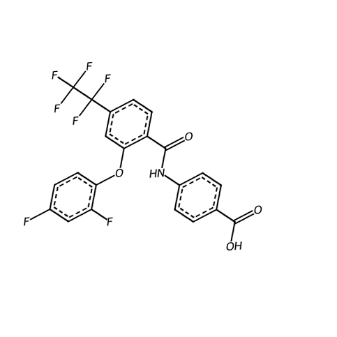 O=C(O)c1ccc(NC(=O)c2ccc(C(F)(F)C(F)(F)F)cc2Oc2ccc(F)cc2F)cc1